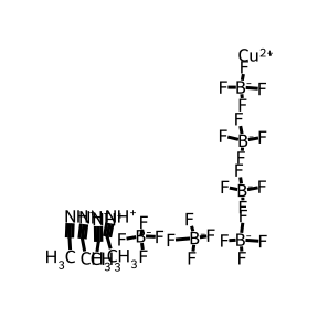 CC#[NH+].CC#[NH+].CC#[NH+].CC#[NH+].F[B-](F)(F)F.F[B-](F)(F)F.F[B-](F)(F)F.F[B-](F)(F)F.F[B-](F)(F)F.F[B-](F)(F)F.[Cu+2]